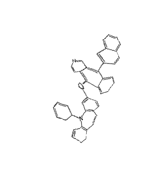 C1=CCC(N2C3=C(C=Cc4ccc(Oc5c6c(c(-c7ccc8ccccc8c7)c7cnccc57)=CCCC=6)cc42)CCC=C3)C=C1